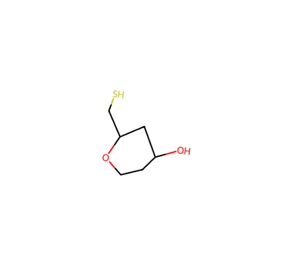 OC1CCOC(CS)C1